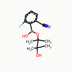 CC(C)(O)C(C)(C)OB(O)c1c(F)cccc1C#N